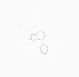 COc1cc(C)cc(OC)c1-c1cccc2c(N(CC3CCC3)C3CCOCC3)c(OC)nn12